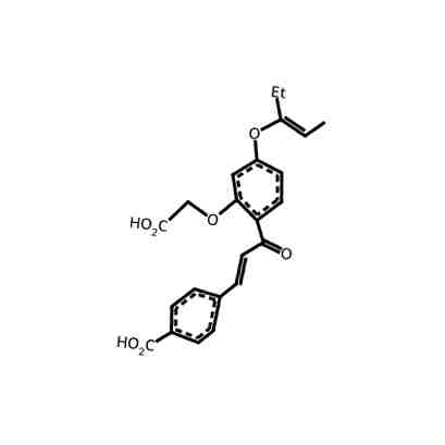 CC=C(CC)Oc1ccc(C(=O)C=Cc2ccc(C(=O)O)cc2)c(OCC(=O)O)c1